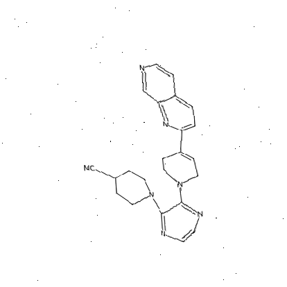 N#CC1CCN(c2nccnc2N2CC=C(c3ccc4ccncc4n3)CC2)CC1